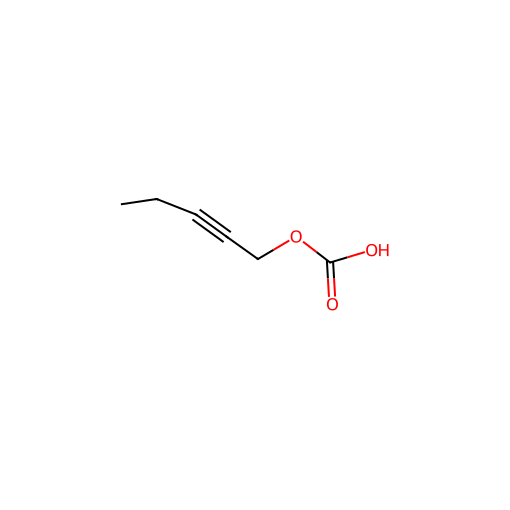 CCC#CCOC(=O)O